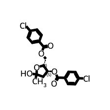 CC1(O)C[C@H](OC(=O)c2ccc(Cl)cc2)[C@@H](COC(=O)c2ccc(Cl)cc2)O1